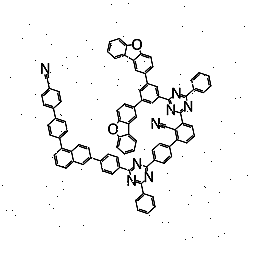 N#Cc1ccc(-c2ccc(-c3cccc4cc(-c5ccc(-c6nc(-c7ccccc7)nc(-c7ccc(-c8cccc(-c9nc(-c%10ccccc%10)nc(-c%10cc(-c%11ccc%12oc%13ccccc%13c%12c%11)cc(-c%11ccc%12oc%13ccccc%13c%12c%11)c%10)n9)c8C#N)cc7)n6)cc5)ccc34)cc2)cc1